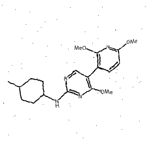 COc1ccc(-c2cnc(NC3CCC(C)CC3)nc2OC)c(OC)n1